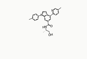 Cc1ccc(-n2ccc3c(-c4ccc(C)cn4)cc(C(=O)N[C@@H](C)CO)cc32)cc1